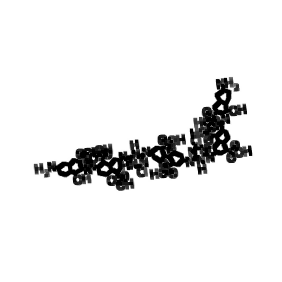 Nc1ccc2c(O)c(N=Nc3ccc4c(S(=O)(=O)O)cc(N=c5[nH]c(Cl)nc(=Nc6ccc(-c7ccc(N=c8nc(Cl)[nH]c(=Nc9cc(S(=O)(=O)O)c%10ccc(N=Nc%11c(S(=O)(=O)O)cc%12cc(N)ccc%12c%11O)c(S(=O)(=O)O)c%10c9)[nH]8)cc7S(=O)(=O)O)c(S(=O)(=O)O)c6)[nH]5)cc4c3S(=O)(=O)O)c(S(=O)(=O)O)cc2c1